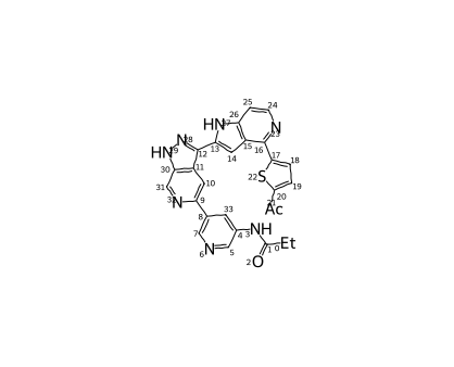 CCC(=O)Nc1cncc(-c2cc3c(-c4cc5c(-c6ccc(C(C)=O)s6)nccc5[nH]4)n[nH]c3cn2)c1